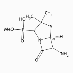 COP(=O)(O)C1N2C(=O)C(N)[C@@H]2SC1(C)C